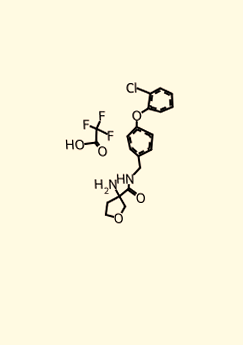 NC1(C(=O)NCc2ccc(Oc3ccccc3Cl)cc2)CCOC1.O=C(O)C(F)(F)F